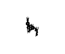 C[C@@H]1Cc2c([nH]c3cc(C#C[Si](C)(C)C)ccc23)[C@@H](c2c(F)cc(NC3CN(CCCF)C3)cc2F)N1CC(F)(F)F